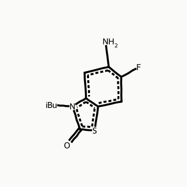 CCC(C)n1c(=O)sc2cc(F)c(N)cc21